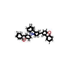 c1ccc2c(c1)oc1ccc(-c3ccc4c(c3)c3ccccc3n4-c3ccc4oc5ccccc5c4c3)cc12